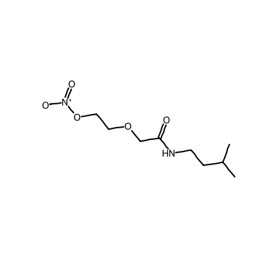 CC(C)CCNC(=O)COCCO[N+](=O)[O-]